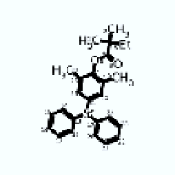 CCC(C)(C)C(=O)Oc1c(C)cc([S+](c2ccccc2)c2ccccc2)cc1C